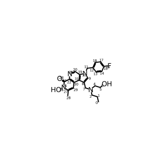 CCCN(CCO)Cc1cn(Cc2ccc(F)cc2)c2cnc3c(=O)n(O)c(C)cc3c12